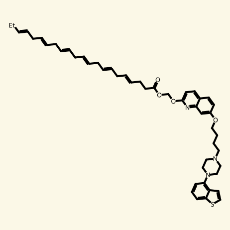 CCC=CCC=CCC=CCC=CCC=CCC=CCCC(=O)OCOc1ccc2ccc(OCCCCN3CCN(c4cccc5sccc45)CC3)cc2n1